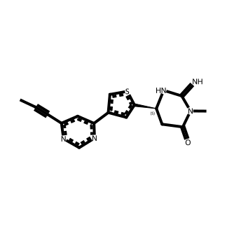 CC#Cc1cc(-c2csc([C@@H]3CC(=O)N(C)C(=N)N3)c2)ncn1